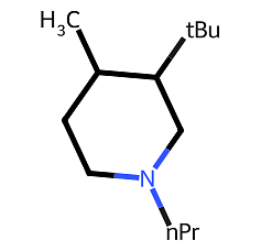 CCCN1CCC(C)C(C(C)(C)C)C1